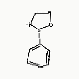 c1ccc(B2NCCO2)cc1